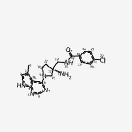 Cc1c[nH]c2ncnc(N3CC[C@](N)(CNC(=O)c4ccc(Cl)cc4)C3)c12